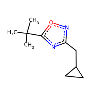 CC(C)(C)c1nc(CC2CC2)no1